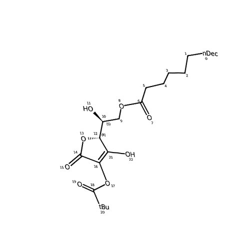 CCCCCCCCCCCCCCCC(=O)OC[C@H](O)[C@H]1OC(=O)C(OC(=O)C(C)(C)C)=C1O